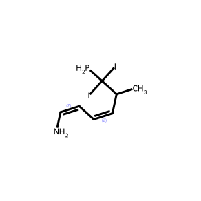 CC(/C=C\C=C/N)C(P)(I)I